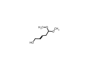 COC(CC=CCO)OC